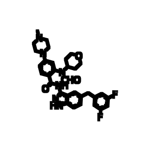 CN1CCN(c2ccc(C(=O)Nc3n[nH]c4ccc(Cc5cc(F)cc(F)c5)cc34)c(N(C=O)C3CCOCC3)c2)CC1